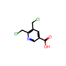 O=C(O)c1cnc(CCl)c(CCl)c1